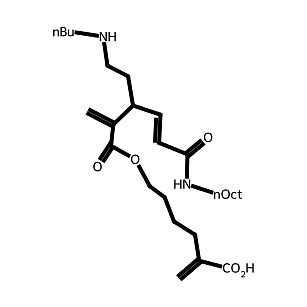 C=C(CCCCOC(=O)C(=C)C(C=CC(=O)NCCCCCCCC)CCNCCCC)C(=O)O